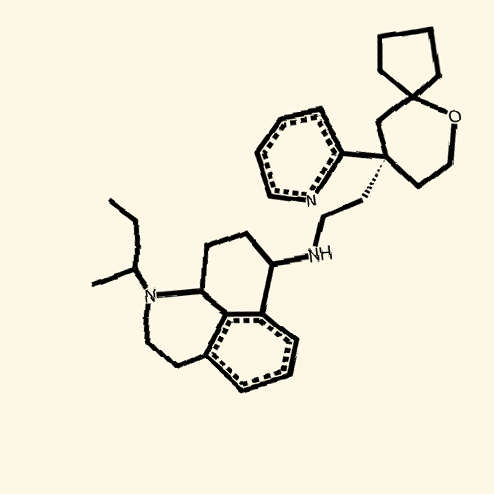 CCC(C)N1CCc2cccc3c2C1CCC3NCC[C@@]1(c2ccccn2)CCOC2(CCCC2)C1